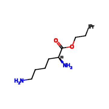 CC(C)CCOC(=O)[C@@H](N)CCCCN